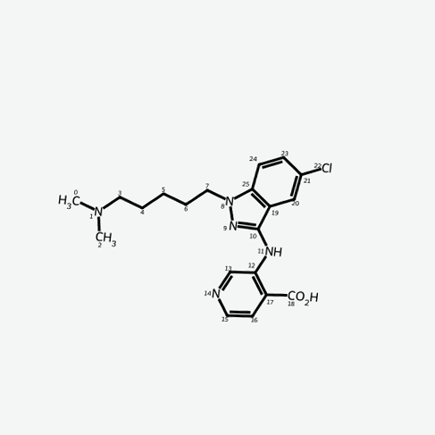 CN(C)CCCCCn1nc(Nc2cnccc2C(=O)O)c2cc(Cl)ccc21